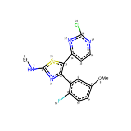 CCNc1nc(-c2cc(OC)ccc2F)c(-c2ccnc(Cl)n2)s1